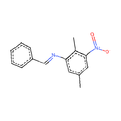 Cc1cc(N=Cc2ccccc2)c(C)c([N+](=O)[O-])c1